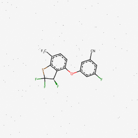 N#Cc1cc(F)cc(Oc2ccc(C(F)(F)F)c3c2[C@@H](F)C(F)(F)S3)c1